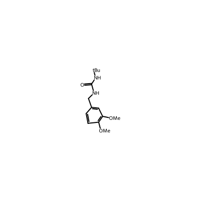 COc1ccc(CNC(=O)NC(C)(C)C)cc1OC